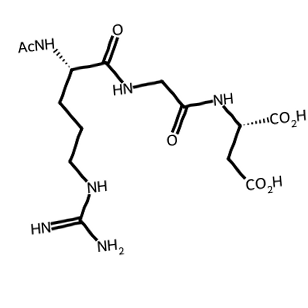 CC(=O)N[C@@H](CCCNC(=N)N)C(=O)NCC(=O)N[C@@H](CC(=O)O)C(=O)O